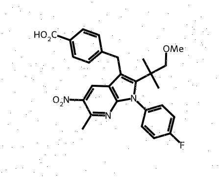 COCC(C)(C)c1c(Cc2ccc(C(=O)O)cc2)c2cc([N+](=O)[O-])c(C)nc2n1-c1ccc(F)cc1